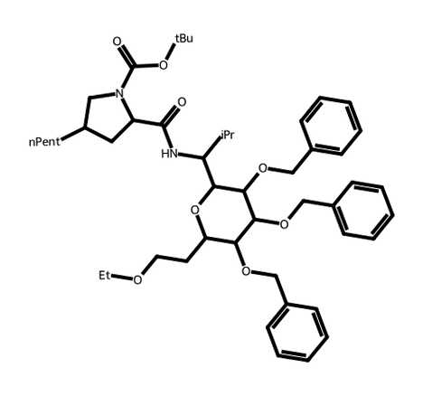 CCCCCC1CC(C(=O)NC(C(C)C)C2OC(CCOCC)C(OCc3ccccc3)C(OCc3ccccc3)C2OCc2ccccc2)N(C(=O)OC(C)(C)C)C1